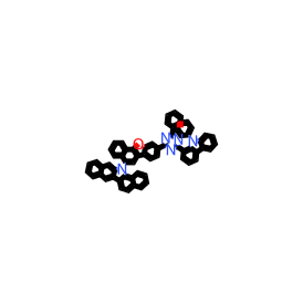 c1ccc(-c2nc(-c3ccc4c(c3)oc3c5ccccc5c(-n5c6cc7ccccc7cc6c6ccc7ccccc7c65)cc43)nc(-c3cccc4c5ccccc5n(-c5ccccc5)c34)n2)cc1